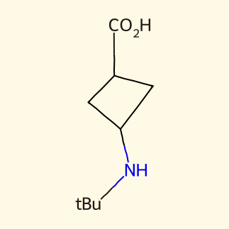 CC(C)(C)NC1CC(C(=O)O)C1